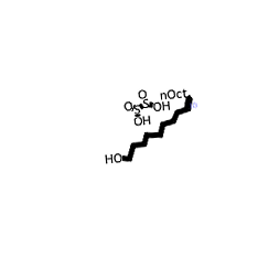 CCCCCCCC/C=C\CCCCCCCCO.O=S(O)S(=O)O